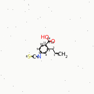 C=CCc1cc(N=C=S)ccc1C(=O)O